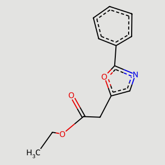 CCOC(=O)Cc1cnc(-c2ccccc2)o1